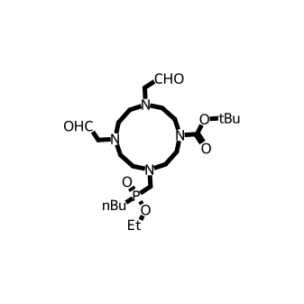 CCCCP(=O)(CN1CCN(CC=O)CCN(CC=O)CCN(C(=O)OC(C)(C)C)CC1)OCC